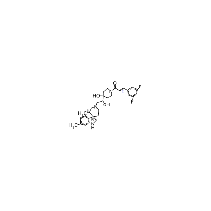 Cc1ccc2c(c1)NC[C@@]21CCN(CC(O)C2(O)CCN(C(=O)/C=C/c3cc(F)cc(F)c3)CC2)C[C@@H]1C